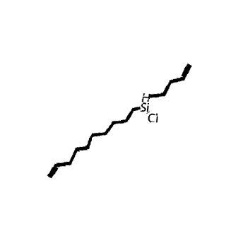 C=CCCCCCCCC[SiH](Cl)CCCC=C